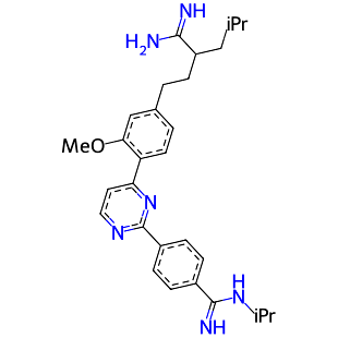 COc1cc(CCC(CC(C)C)C(=N)N)ccc1-c1ccnc(-c2ccc(C(=N)NC(C)C)cc2)n1